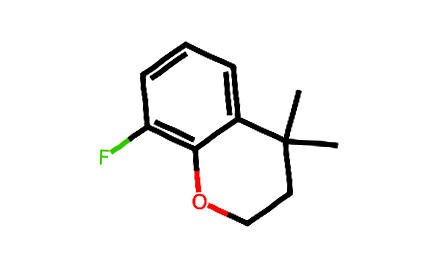 CC1(C)CCOc2c(F)cccc21